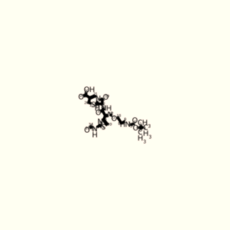 CC(C)(C)OC(=O)NCCCON=C(C(=O)NC1C(=O)N2C=C(C(=O)O)CS[C@H]12)c1csc(NC=O)n1